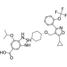 CC(C)Oc1cc(C(=O)O)cc2c1N[SH]([C@H]1CC[C@@H](OCc3c(-c4ccccc4OC(F)(F)F)noc3C3CC3)CC1)N2